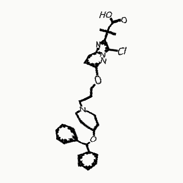 CC(C)(C(=O)O)c1nc2ccc(OCCCN3CCC(OC(c4ccccc4)c4ccccc4)CC3)nn2c1Cl